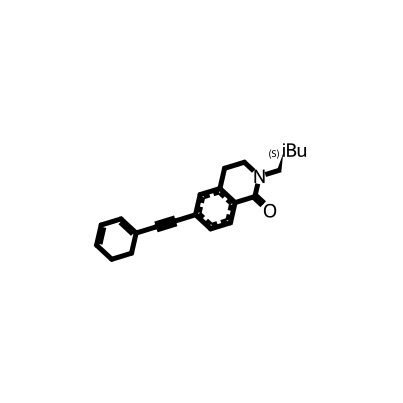 CC[C@H](C)CN1CCc2cc(C#CC3=CC=CCC3)ccc2C1=O